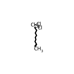 C/C=C/CCCCCCC[Si](Cl)(Cl)Cl